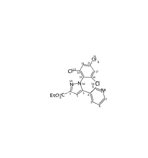 CCOC(=O)c1cc(-c2cccnc2)n(-c2c(Cl)cc(C(F)(F)F)cc2Cl)n1